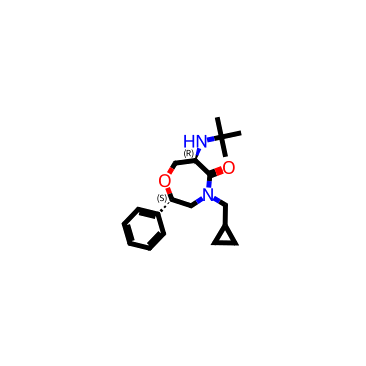 CC(C)(C)N[C@@H]1CO[C@@H](c2ccccc2)CN(CC2CC2)C1=O